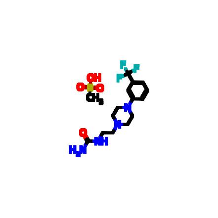 CS(=O)(=O)O.NC(=O)NCCN1CCN(c2cccc(C(F)(F)F)c2)CC1